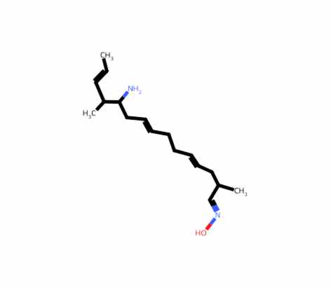 CC=CC(C)C(N)CC=CCCC=CCC(C)C=NO